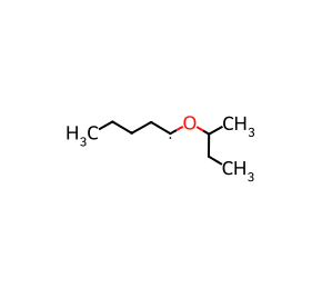 CCCC[CH]OC(C)CC